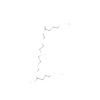 CCCC(CCCC(=O)O)OCOCCNCCOCOC(CCC)CCCC(=O)O